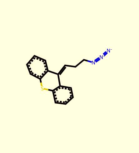 [N-]=[N+]=NCCC=C1c2ccccc2Sc2ccccc21